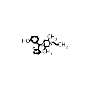 C=CCN1CC(C)N(C(c2cccc(O)c2)c2cccs2)CC1C